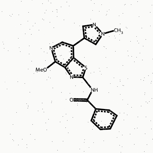 COc1ncc(-c2cnn(C)c2)c2sc(NC(=O)c3ccccc3)nc12